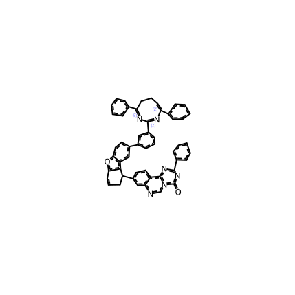 O=c1nc(-c2ccccc2)nc2c3ccc(C4CC=Cc5oc6ccc(-c7cccc(C8=N/C(c9ccccc9)=C\CC/C(c9ccccc9)=N\8)c7)cc6c54)cc3ncn12